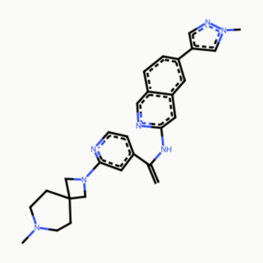 C=C(Nc1cc2cc(-c3cnn(C)c3)ccc2cn1)c1ccnc(N2CC3(CCN(C)CC3)C2)c1